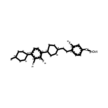 CCCCCCCCOc1ccc(CCC2CCC(c3ccc(C4CCC(C)CC4)c(F)c3F)CC2)c(F)c1